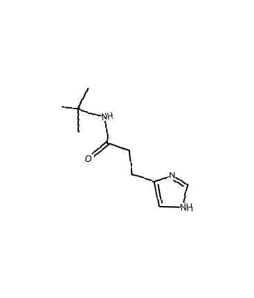 CC(C)(C)NC(=O)CCc1c[nH]cn1